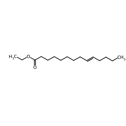 CCCCC=CCCCCCCCC(=O)OCC